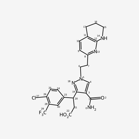 NC(=O)c1cn(CCc2ccc3c(n2)NCCC3)nc1C(CC(=O)O)c1ccc(Cl)c(C(F)(F)F)c1